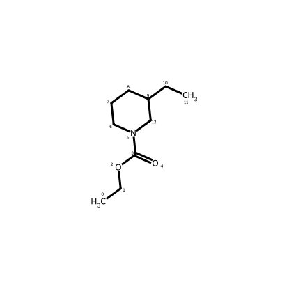 CCOC(=O)N1CCCC(CC)C1